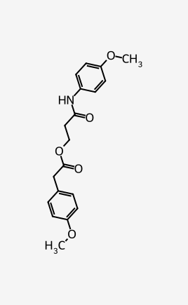 COc1ccc(CC(=O)OCCC(=O)Nc2ccc(OC)cc2)cc1